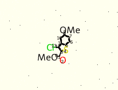 COC(=O)c1sc2ccc(OC)cc2c1Cl